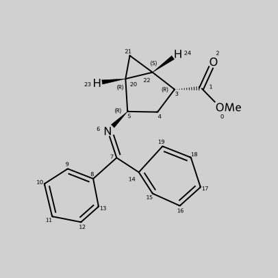 COC(=O)[C@@H]1C[C@@H](N=C(c2ccccc2)c2ccccc2)[C@@H]2C[C@@H]21